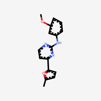 COc1cccc(Nc2nccc(-c3ccc(C)o3)n2)c1